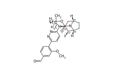 COc1cc(C=O)ccc1-c1ccc(N(C)[C@H]2C[C@@H]3CC[C@H]([C@H]2F)N3C(=O)OC(C)(C)C)nn1